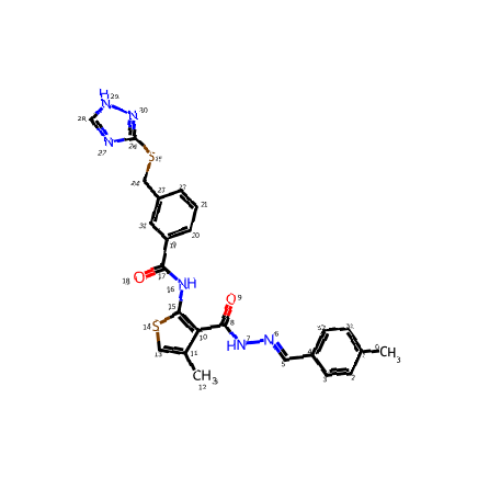 Cc1ccc(/C=N/NC(=O)c2c(C)csc2NC(=O)c2cccc(CSc3nc[nH]n3)c2)cc1